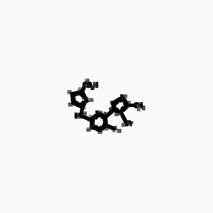 Cc1ncc(-c2nc(Nc3ccc(C(=O)O)s3)ncc2F)n1C(C)C